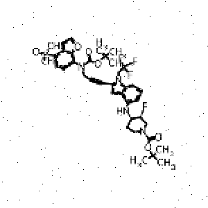 CC(C)(C)OC(=O)N1CC[C@@H](Nc2cccc3c2cc(C#CCN(C(=O)OC(C)(C)C)c2ccc(P(C)(C)=O)c4ccoc24)n3CC(F)(F)F)[C@@H](F)C1